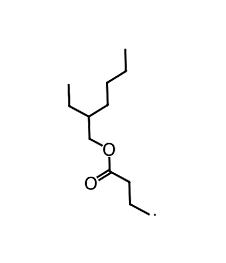 [CH2]CCC(=O)OCC(CC)CCCC